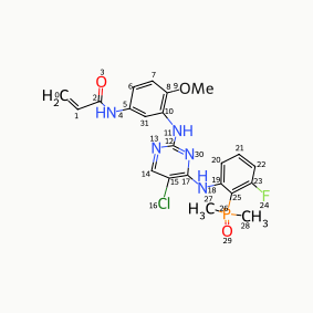 C=CC(=O)Nc1ccc(OC)c(Nc2ncc(Cl)c(Nc3cccc(F)c3P(C)(C)=O)n2)c1